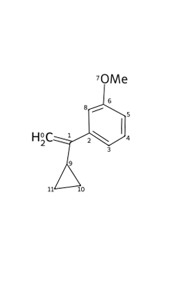 C=C(c1cccc(OC)c1)C1CC1